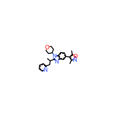 Cc1noc(C)c1-c1ccc2c(c1)nc(C(C)Cc1ccccn1)n2C1CCOCC1